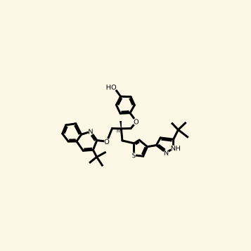 CC(C)(C)c1cc(-c2csc(C[C@@](C)(COc3ccc(O)cc3)COc3nc4ccccc4cc3C(C)(C)C)c2)n[nH]1